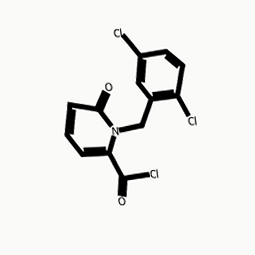 O=C(Cl)c1cccc(=O)n1Cc1cc(Cl)ccc1Cl